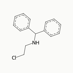 ClCCNC(c1ccccc1)c1ccccc1